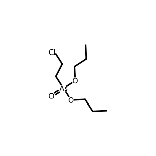 CCCO[As](=O)(CCCl)OCCC